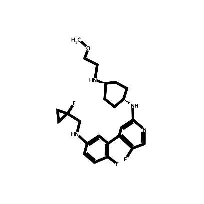 COCCN[C@H]1CC[C@H](Nc2cc(-c3cc(NCC4(F)CC4)ccc3F)c(F)cn2)CC1